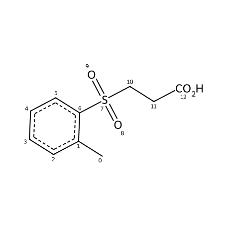 Cc1ccccc1S(=O)(=O)CCC(=O)O